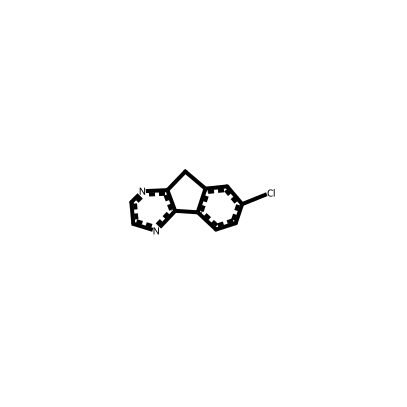 Clc1ccc2c(c1)Cc1nccnc1-2